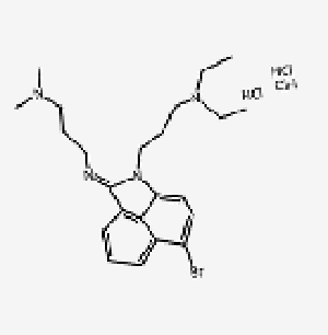 CCN(CC)CCCN1/C(=N\CCCN(C)C)c2cccc3c(Br)ccc1c23.Cl.Cl.Cl